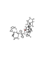 COc1cc(S(=O)(=O)CCC(=O)N2CC3CCC(C2)N3c2ccc(C)cn2)ccn1